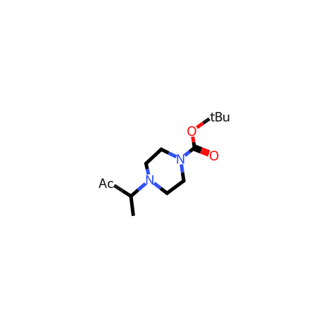 CC(=O)C(C)N1CCN(C(=O)OC(C)(C)C)CC1